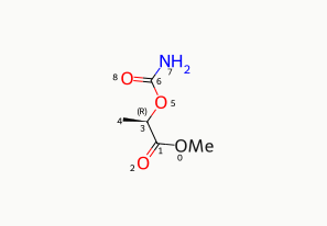 COC(=O)[C@@H](C)OC(N)=O